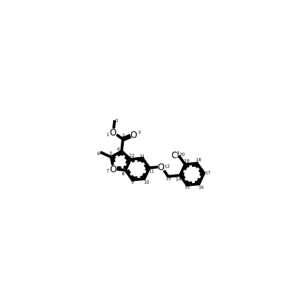 COC(=O)c1c(C)oc2ccc(OCc3ccccc3Cl)cc12